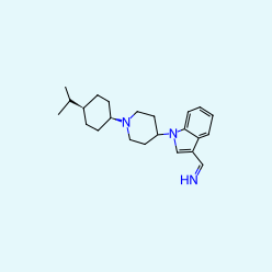 CC(C)[C@H]1CC[C@@H](N2CCC(n3cc(C=N)c4ccccc43)CC2)CC1